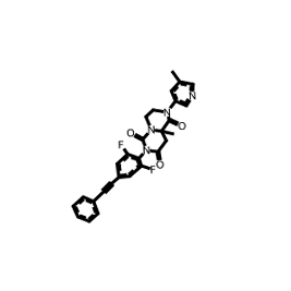 Cc1cncc(N2CCN3C(=O)N(c4c(F)cc(C#Cc5ccccc5)cc4F)C(=O)CC3(C)C2=O)c1